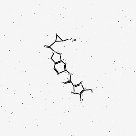 CCOC(=O)C1CC1C(=O)N1Cc2ccc(NC(=O)c3nc(Cl)c(CC)[nH]3)cc2C1